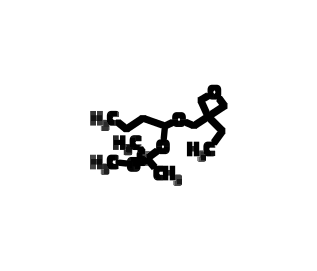 CCCC(OCC1(CC)COC1)O[Si](C)(C)OC